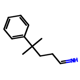 CC(C)(CCC=N)c1ccccc1